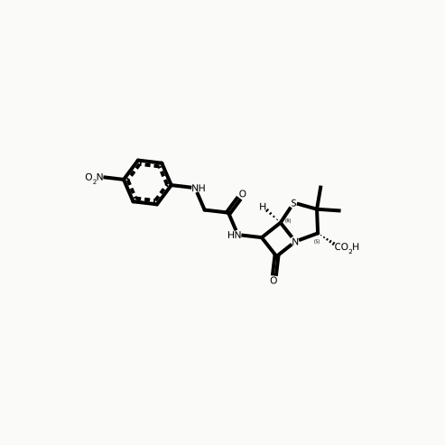 CC1(C)S[C@@H]2C(NC(=O)CNc3ccc([N+](=O)[O-])cc3)C(=O)N2[C@H]1C(=O)O